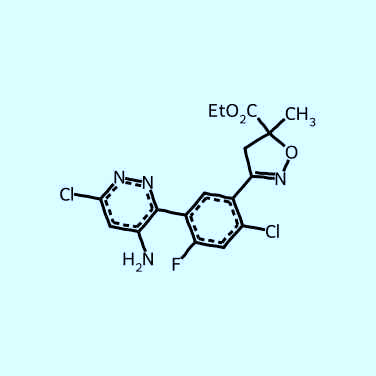 CCOC(=O)C1(C)CC(c2cc(-c3nnc(Cl)cc3N)c(F)cc2Cl)=NO1